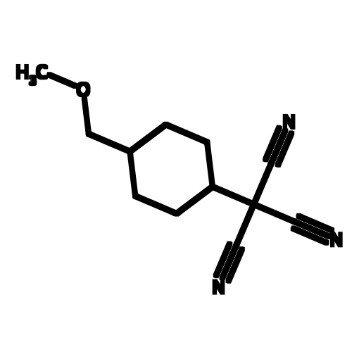 COCC1CCC(C(C#N)(C#N)C#N)CC1